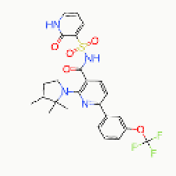 CC1CCN(c2nc(-c3cccc(OC(F)(F)F)c3)ccc2C(=O)NS(=O)(=O)c2ccc[nH]c2=O)C1(C)C